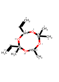 C=C[SiH]1O[Si](C)(C)O[SiH](C)O[Si](C)(C=C)O1